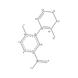 C=C(C)c1ccc(C)c(C2=C(C)CCC=C2)c1